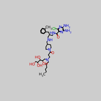 CCCCCCN(CCC(=O)N1CCC(CNCC(CNC(=O)c2nc(N)c(N)nc2Cl)Cc2ccccc2C)CC1)CC(O)C(O)C(O)CO